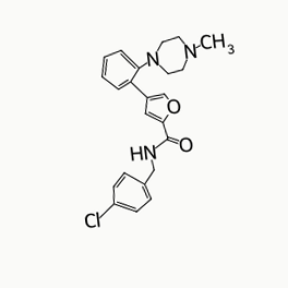 CN1CCN(c2ccccc2-c2coc(C(=O)NCc3ccc(Cl)cc3)c2)CC1